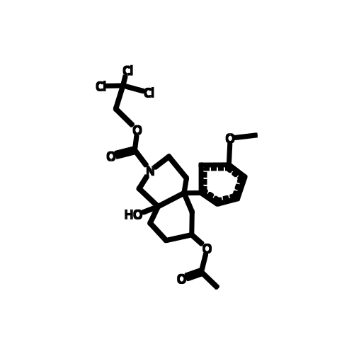 COc1cccc(C23CCN(C(=O)OCC(Cl)(Cl)Cl)CC2(O)CCC(OC(C)=O)C3)c1